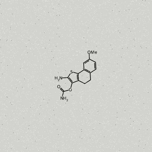 COc1ccc2c(c1)-c1sc(N)c(OC(N)=O)c1CC2